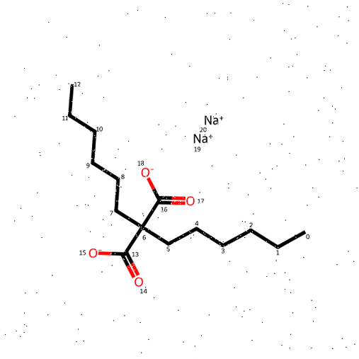 CCCCCCC(CCCCCC)(C(=O)[O-])C(=O)[O-].[Na+].[Na+]